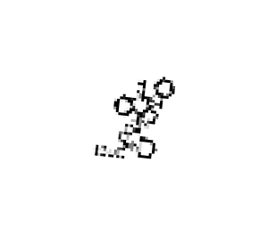 CC(C)(C)OC(=O)N1CCCC[C@@H]1C(=O)N1CC[C@H]2[C@@H](c3ccccc3)Nc3ccccc3[C@H]21